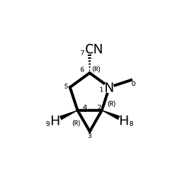 CN1[C@@H]2C[C@@H]2C[C@@H]1C#N